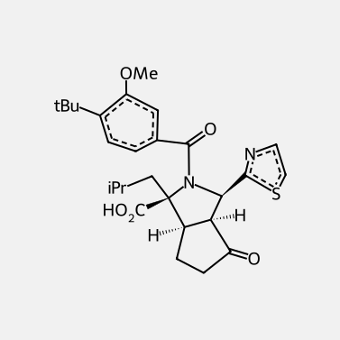 COc1cc(C(=O)N2[C@@H](c3nccs3)[C@H]3C(=O)CC[C@H]3[C@@]2(CC(C)C)C(=O)O)ccc1C(C)(C)C